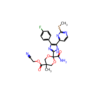 CSc1nccc(-c2[nH]c(C3(C(N)=O)OCC(C)(C(=O)OCC#N)CO3)nc2-c2ccc(F)cc2)n1